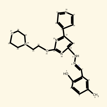 Cc1ccc(O)c(/C=N/Nc2cc(-c3ccncc3)nc(OCCN3CCOCC3)n2)c1